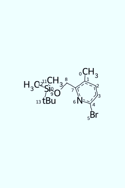 Cc1ccc(Br)nc1CO[Si](C)(C)C(C)(C)C